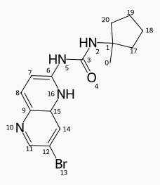 CC1(NC(=O)NC2=CC=C3N=CC(Br)=CC3N2)CCCC1